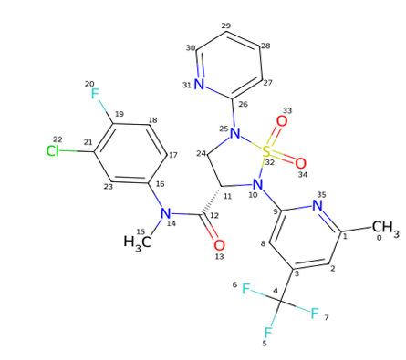 Cc1cc(C(F)(F)F)cc(N2[C@H](C(=O)N(C)c3ccc(F)c(Cl)c3)CN(c3ccccn3)S2(=O)=O)n1